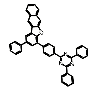 c1ccc(-c2cc(-c3ccc(-c4nc(-c5ccccc5)nc(-c5ccccc5)n4)cc3)c3oc4cc5ccccc5cc4c3c2)cc1